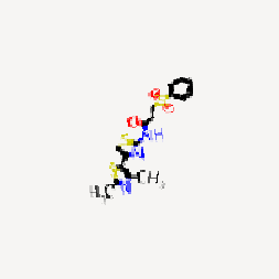 Cc1nc(C)c(-c2csc(NC(=O)CCS(=O)(=O)c3ccccc3)n2)s1